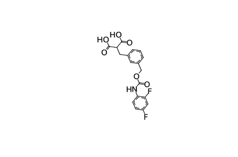 O=C(Nc1ccc(F)cc1F)OCc1cccc(CC(C(=O)O)C(=O)O)c1